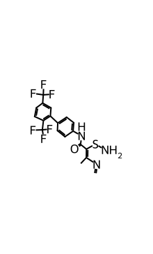 C=N/C(C)=C(\SN)C(=O)Nc1ccc(-c2cc(C(F)(F)F)ccc2C(F)(F)F)cc1